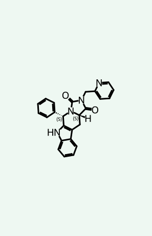 O=C1[C@@H]2Cc3c([nH]c4ccccc34)[C@H](c3ccccc3)N2C(=O)N1Cc1ccccn1